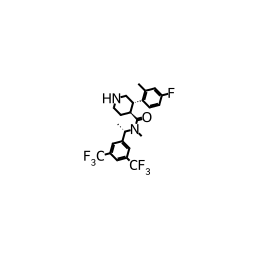 Cc1cc(F)ccc1[C@H]1CNCC[C@@H]1C(=O)N(C)[C@@H](C)c1cc(C(F)(F)F)cc(C(F)(F)F)c1